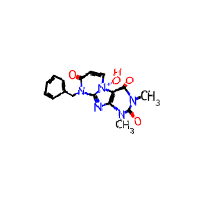 Cn1c2c(c(=O)n(C)c1=O)[N+]1(O)C=CC(=O)N(Cc3ccccc3)C1=N2